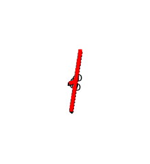 CCCCCCCCC=CCCCCCCCC(=O)OCC(COC(=O)CCCCCCCC=CCCCCCCCC)OC(=O)CCC